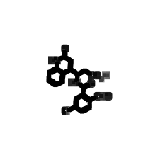 O=Cc1ccc(Cl)cc1C(=O)NC(CC(=O)O)c1cc(=O)[nH]c2ccccc12